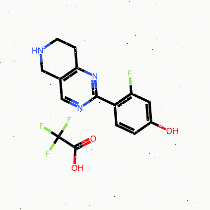 O=C(O)C(F)(F)F.Oc1ccc(-c2ncc3c(n2)CCNC3)c(F)c1